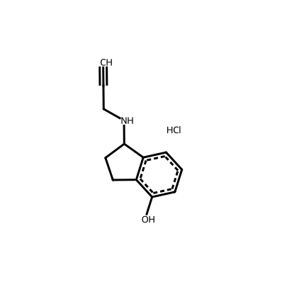 C#CCNC1CCc2c(O)cccc21.Cl